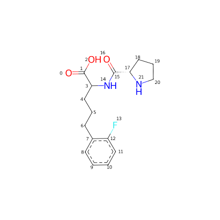 O=C(O)C(CCCc1ccccc1F)NC(=O)[C@@H]1CCCN1